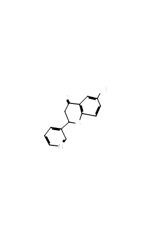 O=C1CC(c2cccnc2)Oc2ccc(O)cc21